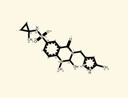 Cc1cc(CN2C(=O)c3cc(S(=O)(=O)NC4(C)CC4)ccc3N(C)C2O)n[nH]1